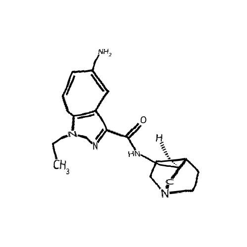 CCn1nc(C(=O)N[C@@H]2CN3CCC2CC3)c2cc(N)ccc21